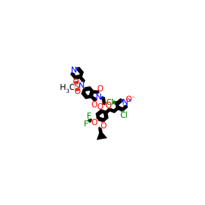 CS(=O)(=O)N(Cc1ccncc1)c1ccc2c(c1)C(=O)N(CC(=O)OC(Cc1c(Cl)c[n+]([O-])cc1Cl)c1ccc(OC(F)F)c(OCC3CC3)c1)C2=O